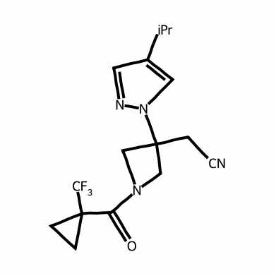 CC(C)c1cnn(C2(CC#N)CN(C(=O)C3(C(F)(F)F)CC3)C2)c1